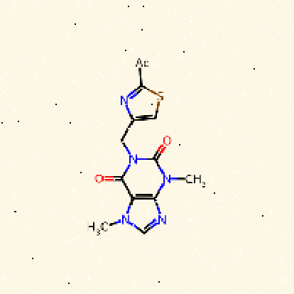 CC(=O)c1nc(Cn2c(=O)c3c(ncn3C)n(C)c2=O)cs1